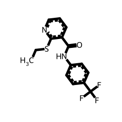 CCSc1ncccc1C(=O)Nc1ccc(C(F)(F)F)cc1